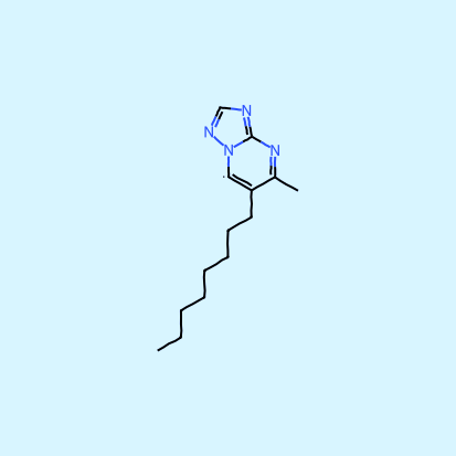 CCCCCCCCc1[c]n2ncnc2nc1C